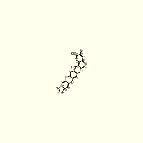 Fc1cc(Oc2ccn3ncnc3c2)c(F)cc1Nc1ncnc2cc(Br)c(Cl)nc12